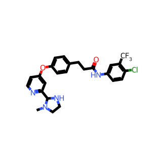 CN1CCNC1c1cc(Oc2ccc(CCC(=O)Nc3ccc(Cl)c(C(F)(F)F)c3)cc2)ccn1